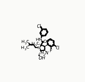 CC(C)=CCN1[C@@H](CO)[C@@H](N)[C@H](c2cccc(Cl)c2F)[C@]1(C)C(=O)Nc1cccc(Cl)c1